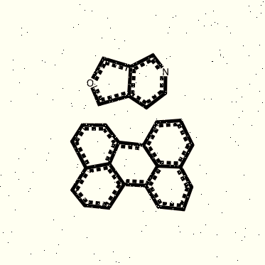 c1cc2cccc3c4cccc5cccc(c(c1)c23)c54.c1cc2cocc2cn1